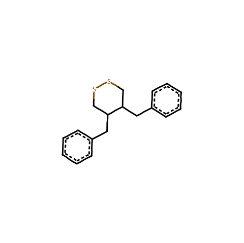 c1ccc(CC2CSSCC2Cc2ccccc2)cc1